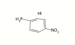 I.O=[N+]([O-])c1ccc(P)cc1